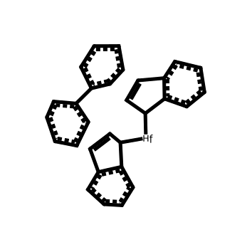 C1=C[CH]([Hf][CH]2C=Cc3ccccc32)c2ccccc21.c1ccc(-c2ccccc2)cc1